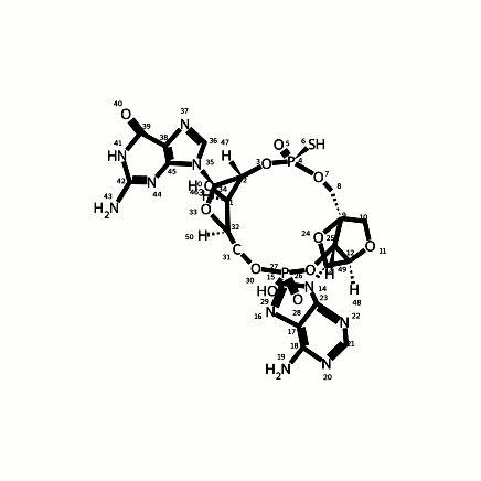 C[C@H]1[C@H]2O[P@@](=O)(S)OC[C@@]34CO[C@@H]([C@H](n5cnc6c(N)ncnc65)O3)[C@@H]4OP(=O)(O)OC[C@H]1O[C@H]2n1cnc2c(=O)[nH]c(N)nc21